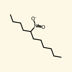 CCCCCCC(CCCC)[N+](=O)[O-]